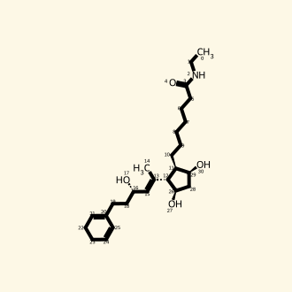 CCNC(=O)CCCCCC[C@@H]1[C@@H](/C(C)=C/[C@@H](O)CCC2=CCCC=C2)[C@H](O)C[C@@H]1O